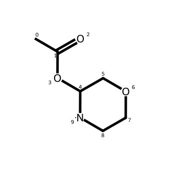 CC(=O)OC1COCC[N]1